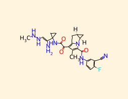 CNN/C=C(\N)C1(NC(=O)C(=O)c2c(C)c(C(=O)Nc3ccc(F)c(C#N)c3)n3c2C[C@H]2C[C@H]23)CC1